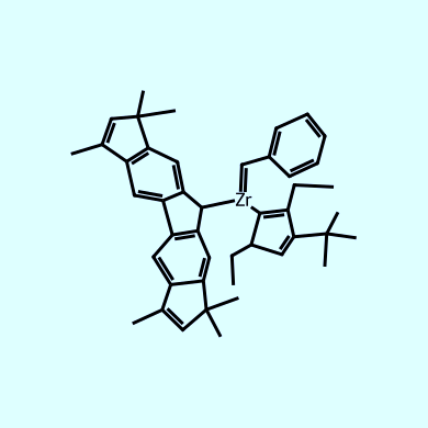 CCC1=[C]([Zr](=[CH]c2ccccc2)[CH]2c3cc4c(cc3-c3cc5c(cc32)C(C)(C)C=C5C)C(C)=CC4(C)C)C(CC)C=C1C(C)(C)C